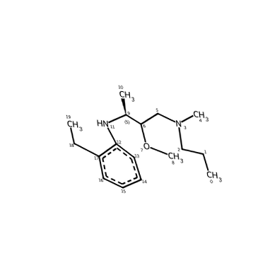 CCCN(C)CC(OC)[C@H](C)Nc1ccccc1CC